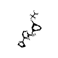 FC(F)C(F)(F)Oc1cccc(Nc2nccc(-c3cccs3)n2)c1